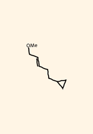 COCC=CCCC1[CH]C1